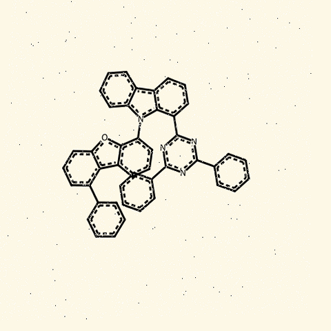 c1ccc(-c2nc(-c3ccccc3)nc(-c3cccc4c5ccccc5n(-c5cccc6c5oc5cccc(-c7ccccc7)c56)c34)n2)cc1